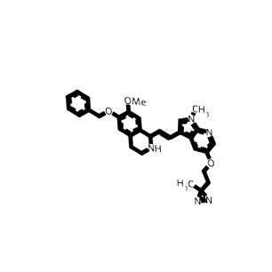 COc1cc2c(cc1OCc1ccccc1)CCNC2/C=C/c1cn(C)c2ncc(OCCC3(C)N=N3)cc12